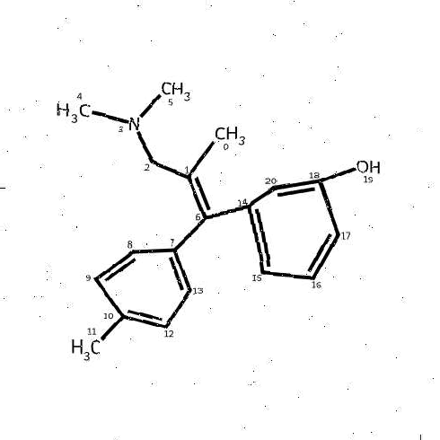 CC(CN(C)C)=C(c1ccc(C)cc1)c1cccc(O)c1